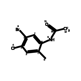 Cc1cc(Cl)c(Br)cc1NC(=O)C(F)(F)F